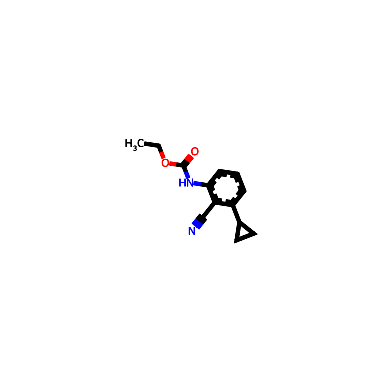 CCOC(=O)Nc1cccc(C2CC2)c1C#N